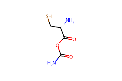 NC(=O)OC(=O)[C@@H](N)CS